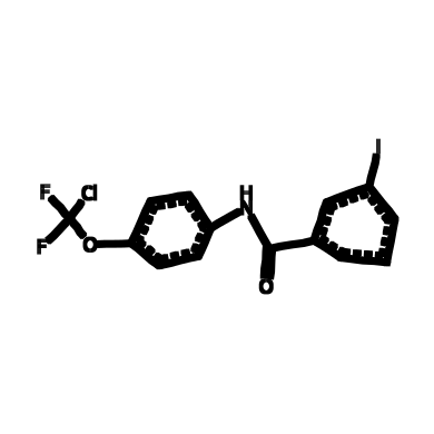 O=C(Nc1ccc(OC(F)(F)Cl)cc1)c1cccc(I)c1